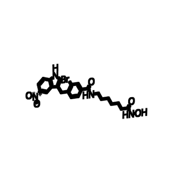 O=C(CCCCCCNC(=O)c1ccc(Cc2c[nH]c3ccc([N+](=O)[O-])cc23)c(Br)c1)NO